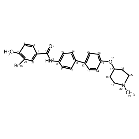 Cc1ccc(C(=O)Nc2ccc(-c3ccc(OC4CCN(C)CC4)cc3)cc2)cc1Br